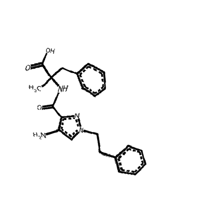 CC(Cc1ccccc1)(NC(=O)c1nn(CCc2ccccc2)cc1N)C(=O)O